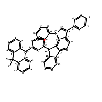 CC1(C)c2ccccc2N(c2cccc(-n3c4ccccc4c4ccc5c(-c6ccccc6)cn(-c6ccccc6)c5c43)c2)c2ccccc21